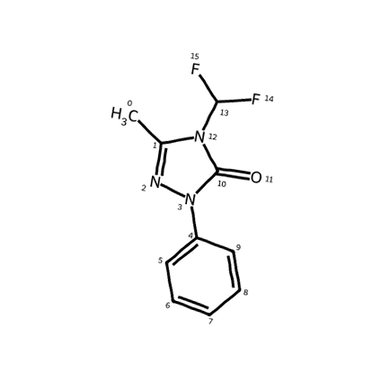 Cc1nn(-c2ccccc2)c(=O)n1C(F)F